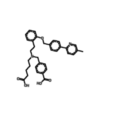 Cc1ccc(-c2ccc(COc3ccccc3CCN(CCCCC(=O)O)Cc3ccc(C(=O)O)cc3)cc2)nc1